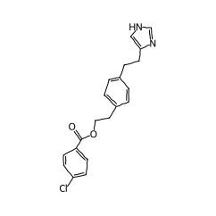 O=C(OCCc1ccc(CCc2c[nH]cn2)cc1)c1ccc(Cl)cc1